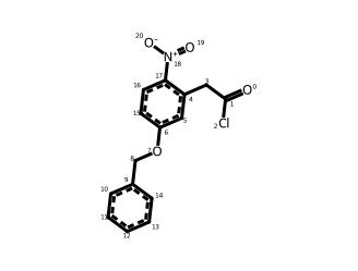 O=C(Cl)Cc1cc(OCc2ccccc2)ccc1[N+](=O)[O-]